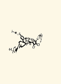 [CH2]CN1CC[C@@](NC(=O)c2[nH]c(C)c(Cl)c2Cl)(c2cn(C)cn2)[C@@H](F)C1